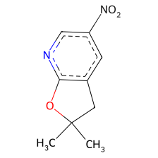 CC1(C)Cc2cc([N+](=O)[O-])cnc2O1